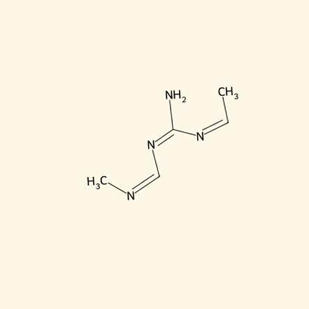 C\C=N/C(N)=N\C=N/C